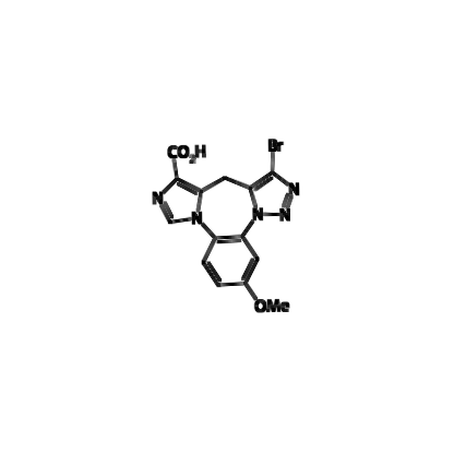 COc1ccc2c(c1)-n1nnc(Br)c1Cc1c(C(=O)O)ncn1-2